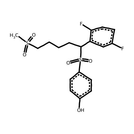 CS(=O)(=O)CCCCC(c1cc(F)ccc1F)S(=O)(=O)c1ccc(O)cc1